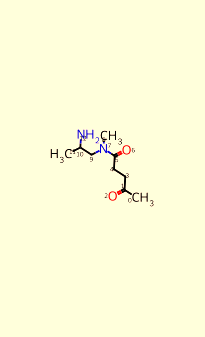 CC(=O)CCC(=O)N(C)CC(C)N